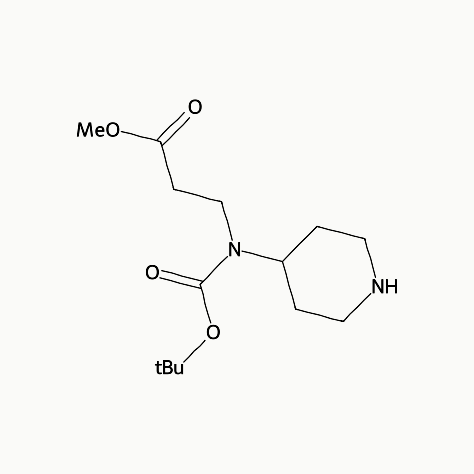 COC(=O)CCN(C(=O)OC(C)(C)C)C1CCNCC1